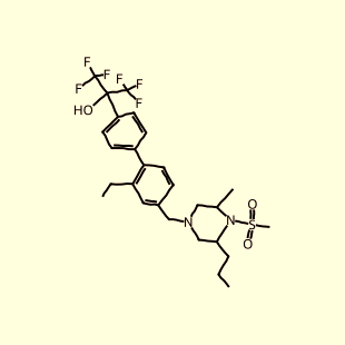 CCCC1CN(Cc2ccc(-c3ccc(C(O)(C(F)(F)F)C(F)(F)F)cc3)c(CC)c2)CC(C)N1S(C)(=O)=O